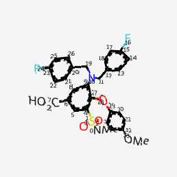 CNS(=O)(=O)c1cc(C(=O)O)cc(N(Cc2ccc(F)cc2)Cc2ccc(F)cc2)c1Oc1ccc(OC)cc1